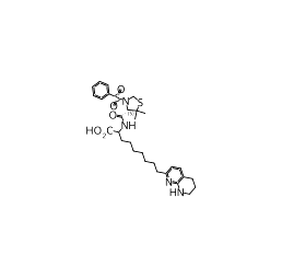 CC1(C)SCN(S(=O)(=O)c2ccccc2)[C@H]1C(=O)NC(CCCCCCCc1ccc2c(n1)NCCC2)C(=O)O